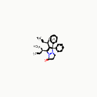 C=CC(C(=O)O)C1=C(C(C=C)C(=O)O)C(c2ccccc2)(c2ccccc2)N2CCC(=O)N12